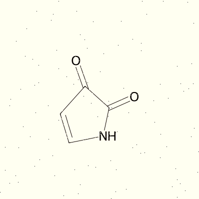 O=C1C=CNC1=O